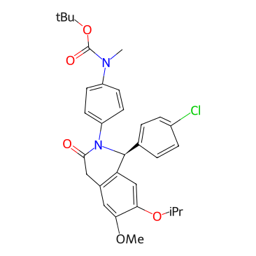 COc1cc2c(cc1OC(C)C)[C@H](c1ccc(Cl)cc1)N(c1ccc(N(C)C(=O)OC(C)(C)C)cc1)C(=O)C2